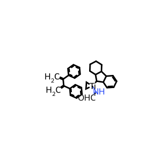 C=C(C(=C)c1ccccc1)c1ccccc1.O=C[NH][Ti]1([CH]2C3C=CC=CC3C3CCCCC32)[CH2][CH2]1